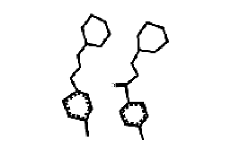 Cc1ccc(C(=O)CCC2CCCCC2)cc1.Cc1ccc(CCCC2CCCCC2)cc1